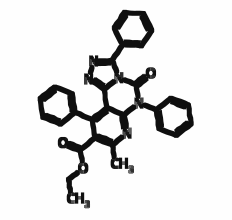 CCOC(=O)c1c(C)nc2c(c1-c1ccccc1)c1nnc(-c3ccccc3)n1c(=O)n2-c1ccccc1